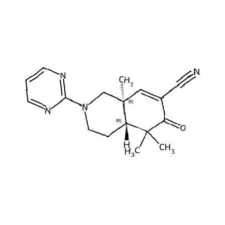 CC1(C)C(=O)C(C#N)=C[C@]2(C)CN(c3ncccn3)CC[C@@H]12